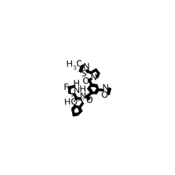 Cc1csc(C2CCCN2C(=O)c2cc(C(=O)N[C@@H](Cc3ccccc3)[C@H](O)[C@H]3C[C@H](F)CN3)cc(-c3ncco3)c2)n1